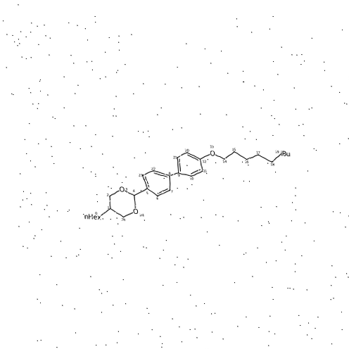 CCCCCCC1COC(c2ccc(-c3ccc(OCCCCCC(C)CC)cc3)cc2)OC1